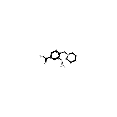 COc1cc(C(N)=O)ccc1CN1CCCCC1